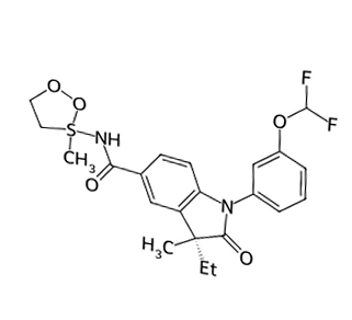 CC[C@@]1(C)C(=O)N(c2cccc(OC(F)F)c2)c2ccc(C(=O)NS3(C)CCOO3)cc21